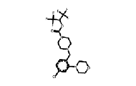 O=C(OC(C(F)(F)F)C(F)(F)F)N1CCN(Cc2ccc(Cl)cc2N2CCOCC2)CC1